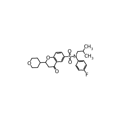 CC(C)CN(c1ccc(F)cc1)S(=O)(=O)c1ccc2c(c1)C(=O)CC(C1CCOCC1)O2